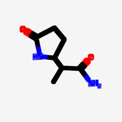 CC(C(N)=O)C1CCC(=O)N1